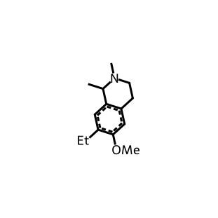 CCc1cc2c(cc1OC)CCN(C)C2C